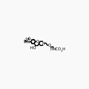 CS(=O)(=O)Nc1ccc2c(c1)C(O)CC1(CCN(CCOCCNC(=O)O)CC1)O2